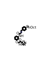 CCCCCCCCOc1ccc(/C=C/C(=O)Nc2cccc3c2OC(c2nnn[nH]2)CO3)cc1